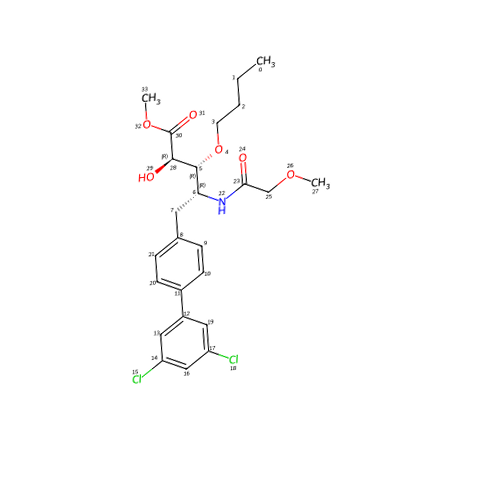 CCCCO[C@H]([C@@H](Cc1ccc(-c2cc(Cl)cc(Cl)c2)cc1)NC(=O)COC)[C@@H](O)C(=O)OC